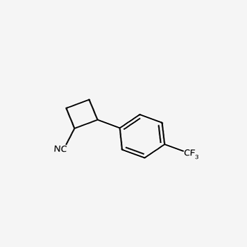 N#CC1CCC1c1ccc(C(F)(F)F)cc1